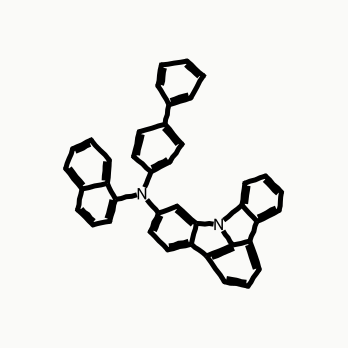 c1ccc(-c2ccc(N(c3ccc4c5cccc6c7ccccc7n(c4c3)c65)c3cccc4ccccc34)cc2)cc1